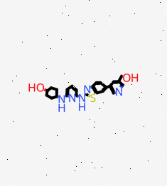 OCc1cncc(-c2ccc3nc(Nc4cccc(NC5CCC(O)CC5)n4)sc3c2)c1